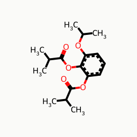 CC(C)Oc1cccc(OC(=O)C(C)C)c1OC(=O)C(C)C